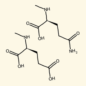 CN[C@@H](CCC(=O)O)C(=O)O.CN[C@@H](CCC(N)=O)C(=O)O